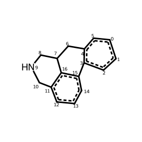 c1ccc2c(c1)CC1CNCc3cccc-2c31